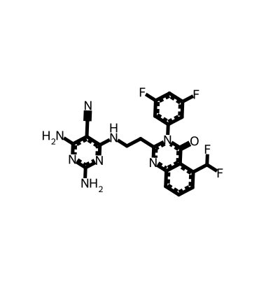 N#Cc1c(N)nc(N)nc1NCCc1nc2cccc(C(F)F)c2c(=O)n1-c1cc(F)cc(F)c1